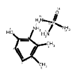 Cc1ccc(O)c(N)c1C.NP(N)(N)=O